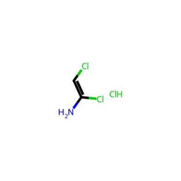 Cl.NC(Cl)=CCl